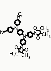 [C-]#[N+]c1ccc(N(c2ccc(C#N)cc2)c2ccc(N(c3ccc(N4C(=O)C(C)C(C)C4=O)cc3)c3ccc(N4C(=O)C(C)C(C)C4=O)cc3)cc2)cc1